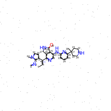 C=Nc1c(/C(=C\C)c2ncc(Nc3cccc(C4(C)CCNCC4)n3)c3c2CNC3=O)ccn1C